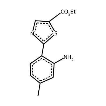 CCOC(=O)c1cnc(-c2ccc(C)cc2N)s1